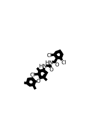 Cc1ccc(Oc2c(C)cc(NC(=O)NC(=O)c3c(Cl)cccc3Cl)c(C)c2Cl)c(C)c1